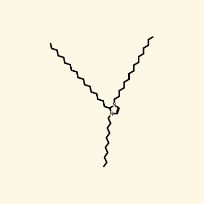 CCCCCCCCCCCCCCCCCCC1N(CCCCCCCCCCC)C=CN1CCCCCCCCCCCCCCCC